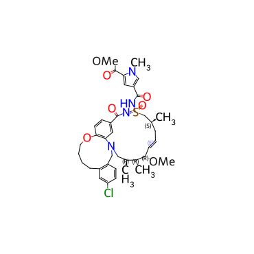 COC(=O)c1cc(C(=O)NS2(=O)=NC(=O)c3ccc4c(c3)N(Cc3ccc(Cl)cc3CCCCO4)C[C@H](C)[C@@H](C)[C@@H](OC)/C=C/C[C@H](C)C2)cn1C